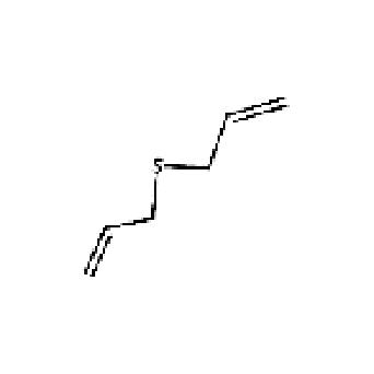 C=CCSCC=C